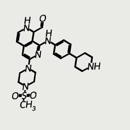 CS(=O)(=O)N1CCN(c2cc3c(c(Nc4ccc(C5CCNCC5)cc4)n2)C(C=O)NC=C3)CC1